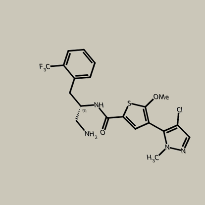 COc1sc(C(=O)N[C@H](CN)Cc2ccccc2C(F)(F)F)cc1-c1c(Cl)cnn1C